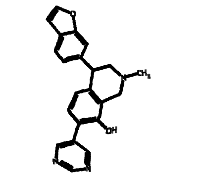 CN1Cc2c(ccc(-c3cncnc3)c2O)C(c2ccc3ccoc3c2)C1